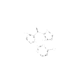 Clc1ccnnn1.O=C(c1ncc[nH]1)c1ncc[nH]1